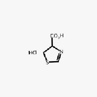 Cl.O=C(O)C1CSC=N1